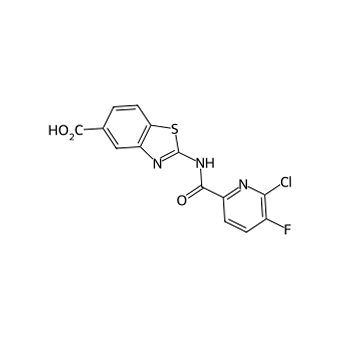 O=C(O)c1ccc2sc(NC(=O)c3ccc(F)c(Cl)n3)nc2c1